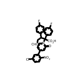 O=CCC(c1ccc(F)cc1)C(C(=O)O)(c1ccc(F)cc1)n1ccc(-c2cc(Cl)ccc2[N+](=O)[O-])cc1=O